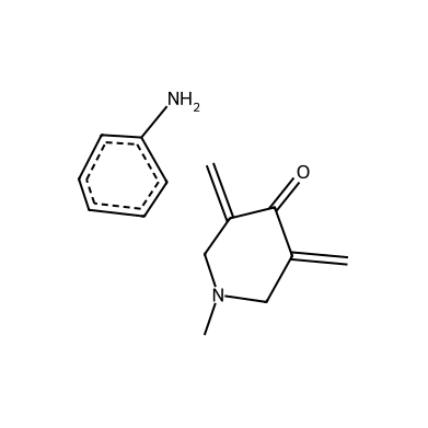 C=C1CN(C)CC(=C)C1=O.Nc1ccccc1